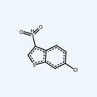 O=[SH](=O)c1csc2cc(Cl)ccc12